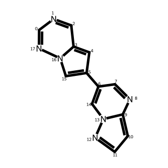 c1ncc2cc(-c3cnc4ccnn4c3)cn2n1